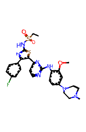 CCS(=O)(=O)Nc1nc(-c2ccc(F)cc2)c(-c2ccnc(Nc3ccc(N4CCN(C)CC4)cc3OC)n2)s1